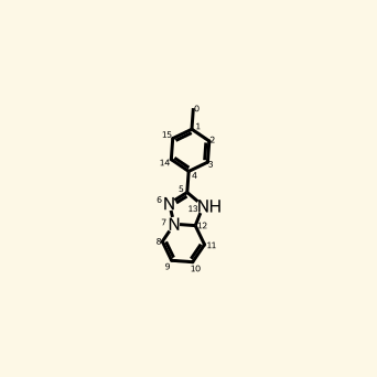 Cc1ccc(C2=NN3C=CC=CC3N2)cc1